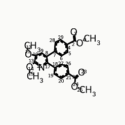 COC(=O)c1ccc(-c2cc(OC)c(OC)nc2-c2ccc(C(=O)OC)cc2)cc1